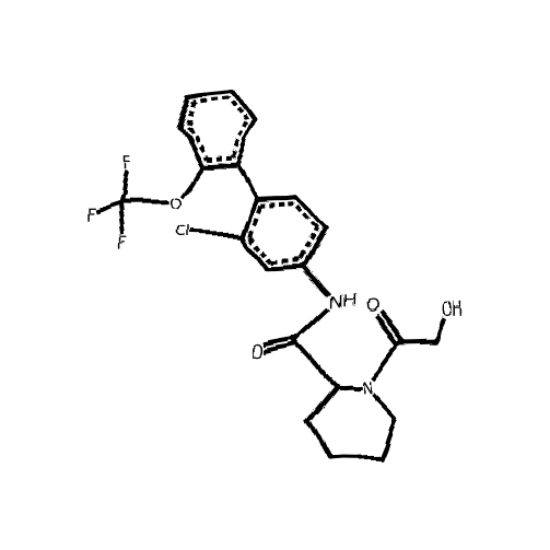 O=C(Nc1ccc(-c2ccccc2OC(F)(F)F)c(Cl)c1)C1CCCCN1C(=O)CO